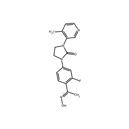 C/C(=N\O)c1ccc(N2CCN(c3cnccc3C)C2=O)cc1F